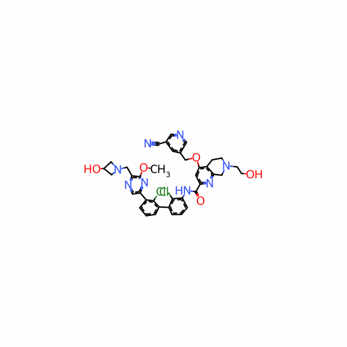 COc1nc(-c2cccc(-c3cccc(NC(=O)c4cc(OCc5cncc(C#N)c5)c5c(n4)CN(CCO)CC5)c3Cl)c2Cl)cnc1CN1CC(O)C1